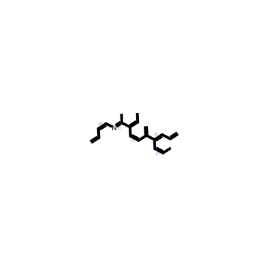 C=C/C=C\N=C(/C)C(=CC)/C=C\C(=C)C(/C=C\C)=C/C=C